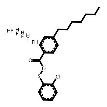 CCCCCCCc1ccc(C(=O)OSc2ccccc2Cl)cc1.F.F.F.F.F